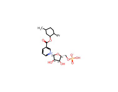 CC1CCC(C(C)C)C(OC(=O)c2ccc[n+]([C@@H]3O[C@H](COP(=O)([O-])O)[C@@H](O)[C@H]3O)c2)C1